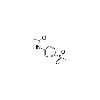 CC(Cl)Nc1ccc(S(C)(=O)=O)cc1